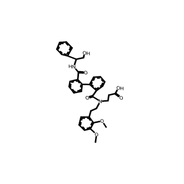 COc1cccc(CCN(CCC(=O)O)C(=O)c2ccccc2-c2ccccc2C(=O)NC(CO)c2ccccc2)c1OC